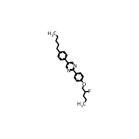 CCCCCc1ccc(-c2cnc(-c3ccc(OCC(F)CCC)cc3)nc2)cc1